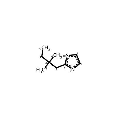 CCC(C)(C)Cc1nccs1